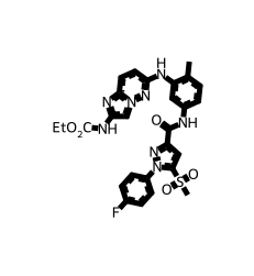 CCOC(=O)Nc1cn2nc(Nc3cc(NC(=O)c4cc(S(C)(=O)=O)n(-c5ccc(F)cc5)n4)ccc3C)ccc2n1